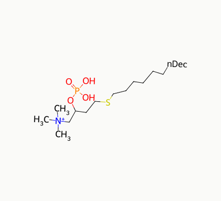 CCCCCCCCCCCCCCCCSCCC(C[N+](C)(C)C)OP(=O)(O)O